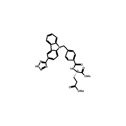 COC(=O)CC[C@H](NC(=O)c1ccc(Cn2c3ccccc3c3cc(-c4nn[nH]n4)ccc32)cc1)C(=O)OC